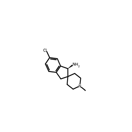 CN1CCC2(CC1)Cc1ccc(Cl)cc1[C@H]2N